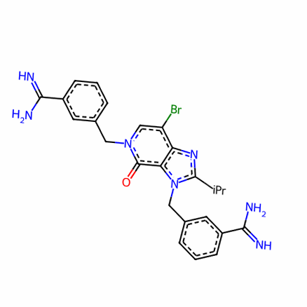 CC(C)c1nc2c(Br)cn(Cc3cccc(C(=N)N)c3)c(=O)c2n1Cc1cccc(C(=N)N)c1